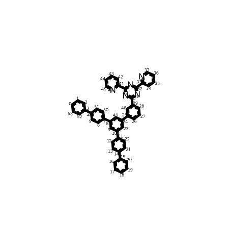 c1ccc(-c2ccc(-c3cc(-c4ccc(-c5ccccc5)cc4)cc(-c4cccc(-c5nc(-c6ccccn6)nc(-c6ccccn6)n5)c4)c3)cc2)cc1